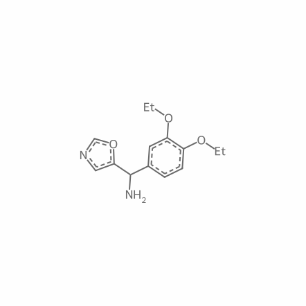 CCOc1ccc(C(N)c2cnco2)cc1OCC